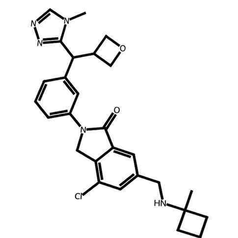 Cn1cnnc1C(c1cccc(N2Cc3c(Cl)cc(CNC4(C)CCC4)cc3C2=O)c1)C1COC1